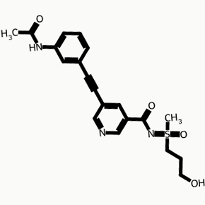 CC(=O)Nc1cccc(C#Cc2cncc(C(=O)N=S(C)(=O)CCCO)c2)c1